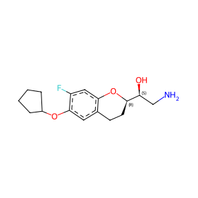 NC[C@H](O)[C@H]1CCc2cc(OC3CCCC3)c(F)cc2O1